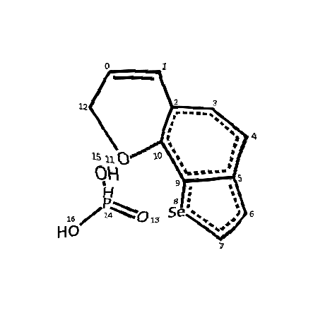 C1=Cc2ccc3cc[se]c3c2OC1.O=[PH](O)O